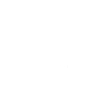 C=CCCCCCCOC=O